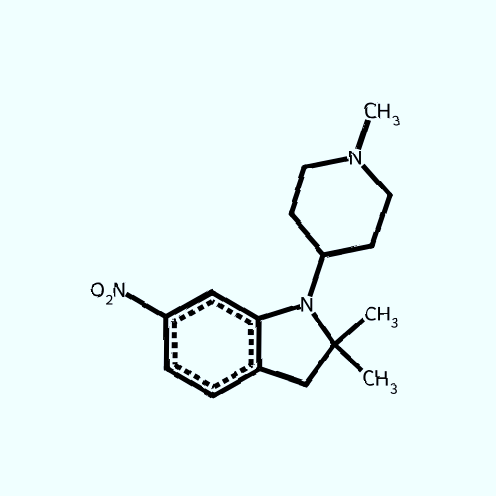 CN1CCC(N2c3cc([N+](=O)[O-])ccc3CC2(C)C)CC1